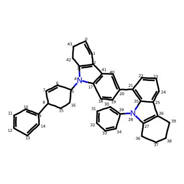 C1=Cc2c(n(C3C=CC(c4ccccc4)CC3)c3ccc(-c4cccc5c6c(n(-c7ccccc7)c45)CCCC6)cc23)CC1